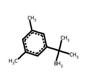 BC(C)(C)c1cc(C)cc(C)c1